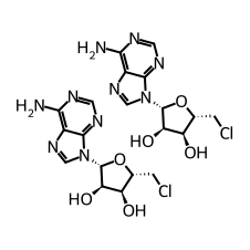 Nc1ncnc2c1ncn2[C@@H]1O[C@H](CCl)[C@@H](O)[C@H]1O.Nc1ncnc2c1ncn2[C@@H]1O[C@H](CCl)[C@@H](O)[C@H]1O